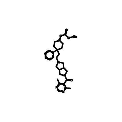 Cc1ncnc(C)c1C(=O)N1CC2CN(CCC3(c4ccccc4)CCN(OC(=O)OC(C)(C)C)CC3)CC2C1